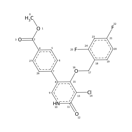 COC(=O)c1ccc(-c2c[nH]c(=O)c(Cl)c2OCc2ccc(F)cc2F)cc1